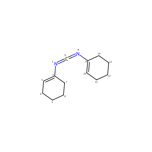 C(=NC1=CCCCC1)=NC1=CCCCC1